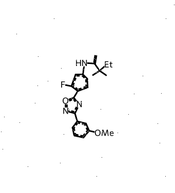 C=C(Nc1ccc(-c2nc(-c3cccc(OC)c3)no2)c(F)c1)C(C)(C)CC